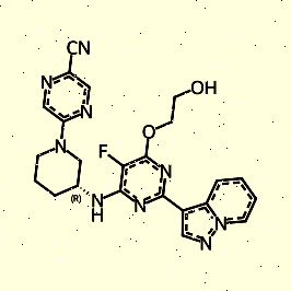 N#Cc1cnc(N2CCC[C@@H](Nc3nc(-c4cnn5ccccc45)nc(OCCO)c3F)C2)cn1